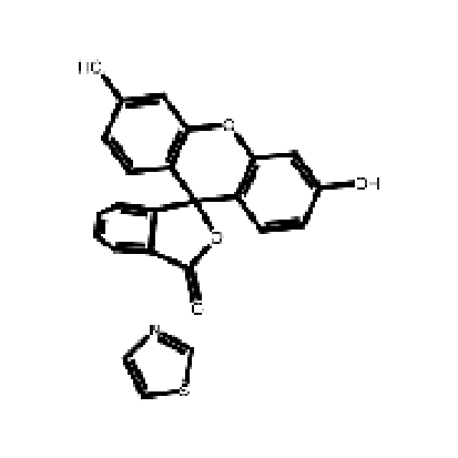 O=C1OC2(c3ccc(O)cc3Oc3cc(O)ccc32)c2ccccc21.c1cscn1